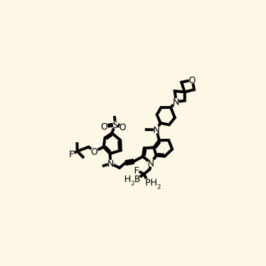 BC(F)(P)Cn1c(C#CCN(C)c2ccc(S(C)(=O)=O)cc2OCC(C)(C)F)cc2c1=CCCC=2N(C)C1CCC(N2CC3(COC3)C2)CC1